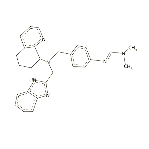 CN(C)/C=N/c1ccc(CN(Cc2nc3ccccc3[nH]2)C2CCCc3cccnc32)cc1